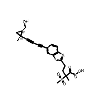 CC(CCc1nc2ccc(C#CC#C[C@]3(C)C[C@H]3CO)cc2s1)(C(=O)NO)S(C)(=O)=O